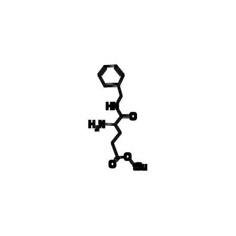 CC(C)(C)OC(=O)CCC(N)C(=O)NCc1ccccc1